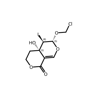 O=C1OCC[C@]2(O)C1=CO[C@@H](OCCl)[C@@H]2I